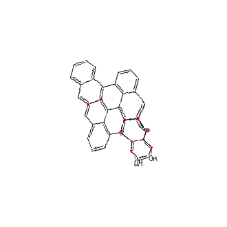 OCCOc1cc2cccc(-c3cccc4ccccc34)c2c(-c2cccc3cccc(-c4cccc5ccccc45)c23)c1OCCO